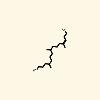 CC(=O)CC/C=C(/C)CCCC(C)CCCC(C)CCCC(C)C